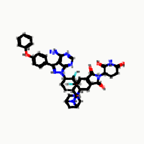 Nc1ncnc2c1c(-c1ccc(Oc3ccccc3)cc1)nn2C1CCC(CN2C3CC2CN(c2cc4c(cc2F)C(=O)N(C2CCC(=O)NC2=O)C4=O)C3)CC1F